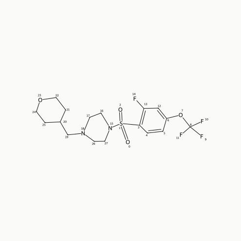 O=S(=O)(c1ccc(OC(F)(F)F)cc1F)N1CCN(CC2CCOCC2)CC1